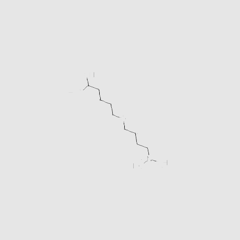 CC(C)CCCCOCCCCN(C)C